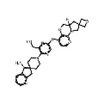 N[C@@H]1c2cccnc2CC12CCN(c1ncc(Sc3ccnc4c3OC[C@@H]3CC5(COC5)CN43)nc1CO)CC2